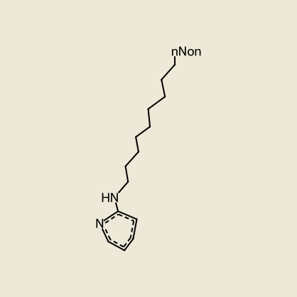 CCCCCCCCCCCCCCCCCCNc1ccccn1